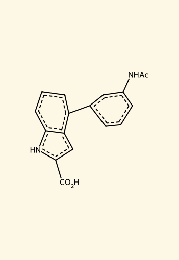 CC(=O)Nc1cccc(-c2cccc3[nH]c(C(=O)O)cc23)c1